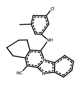 Cc1cc(Cl)cc(Nc2c3c(c(C#N)c4nc5ccccc5n24)CCCC3)c1